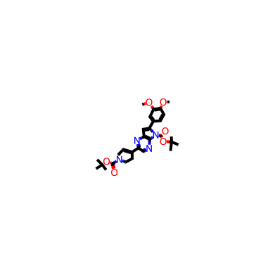 COc1ccc(-c2cc3nc(C4=CCN(C(=O)OC(C)(C)C)CC4)cnc3n2C(=O)OC(C)(C)C)cc1OC